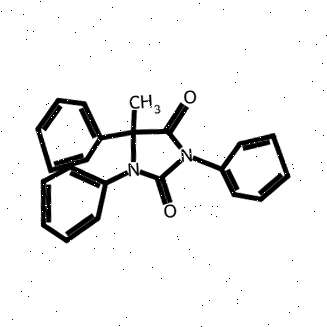 CC1(c2ccccc2)C(=O)N(c2ccccc2)C(=O)N1c1ccccc1